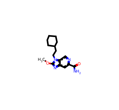 COc1nc2cc(C(N)=O)ncc2n1CCC1CCCCC1